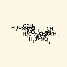 CCCOC(=O)NC(C)C(=O)Oc1c(C)cc(COC(=O)N(C)CCN(C)C(=O)N2C(=O)/C(=C\c3[nH]c(C)cc3C)c3ccccc32)cc1C